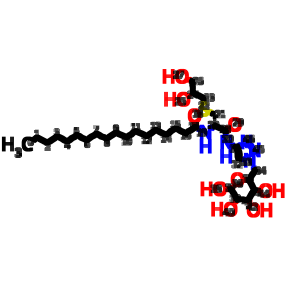 CCCCCCCCCCCCCCCCCC(=O)N[C@H](CSC[C@H](O)CO)C(=O)Nc1cn(CC2OC(O)C(O)C(O)C2O)nn1